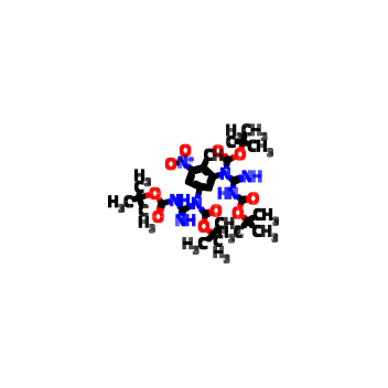 Cc1c(N(C(=N)NC(=O)OC(C)(C)C)C(=O)OC(C)(C)C)cc(N(C(=N)NC(=O)OC(C)(C)C)C(=O)OC(C)(C)C)cc1[N+](=O)[O-]